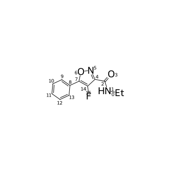 CCNC(=O)c1noc(-c2ccccc2)c1F